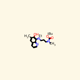 CCN(CCCN(C)C(=O)OC(C)(C)C)c1c(O)c(C)cc2cccnc12